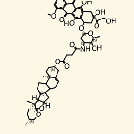 COc1cccc2c1C(=O)c1c(O)c3c(c(O)c1C2=O)C[C@@](O)(C(=O)CO)CC3O[C@H]1C[C@H](NC(=O)CCC(=O)O[C@H]2CC[C@@]3(C)C(=CCC4C3CC[C@@]3(C)C4C[C@@H]4O[C@]5(CC[C@@H](C)CO5)[C@@H](C)[C@@H]43)C2)[C@H](O)[C@H](C)O1